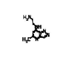 Cc1cc(NCCN)n2nncc2n1